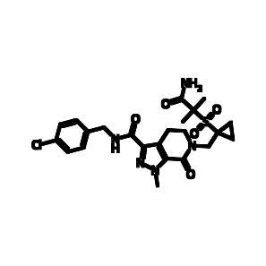 Cn1nc(C(=O)NCc2ccc(Cl)cc2)c2c1C(=O)N(CC1(S(=O)(=O)C(C)(C)C(N)=O)CC1)CC2